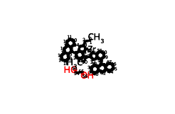 CCCC1=Cc2c(-c3c4ccccc4cc4ccccc34)cccc2[CH]1[Zr][CH]1C(CCC)=Cc2c(-c3c4ccccc4cc4ccccc34)cccc21.OCCO